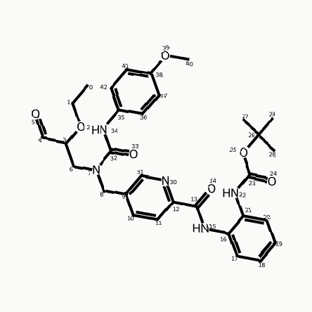 CCOC(C=O)CN(Cc1ccc(C(=O)Nc2ccccc2NC(=O)OC(C)(C)C)nc1)C(=O)Nc1ccc(OC)cc1